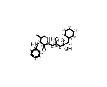 CC(C)[C@H](Nc1ccccc1)C(=O)NC[C@@H](O)CP(=O)(O)CC1CCCCC1